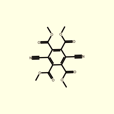 COC(=O)c1c(C#N)c(C(=O)OC)c(C(=O)OC)c(C#N)c1C(=O)OC